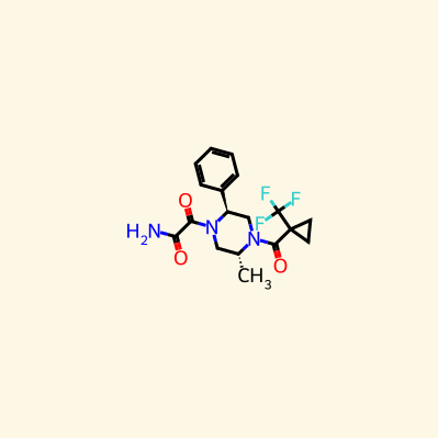 C[C@@H]1CN(C(=O)C(N)=O)[C@@H](c2ccccc2)CN1C(=O)C1(C(F)(F)F)CC1